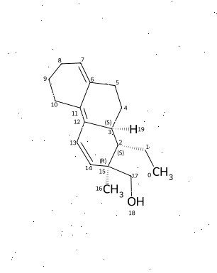 CC[C@H]1[C@@H]2CCC3=CCCCC3=C2C=C[C@]1(C)CO